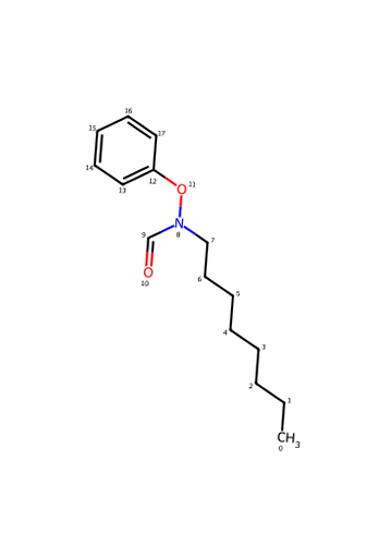 CCCCCCCCN(C=O)Oc1ccccc1